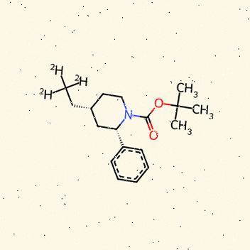 [2H]C([2H])([2H])C[C@@H]1CCN(C(=O)OC(C)(C)C)[C@H](c2ccccc2)C1